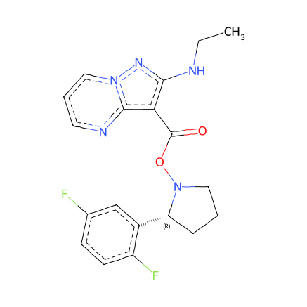 CCNc1nn2cccnc2c1C(=O)ON1CCC[C@@H]1c1cc(F)ccc1F